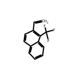 C=Cc1ccc2ccccc2c1C(F)(F)F